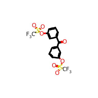 O=C(c1cccc(OS(=O)(=O)C(F)(F)F)c1)c1cccc(OS(=O)(=O)C(F)(F)F)c1